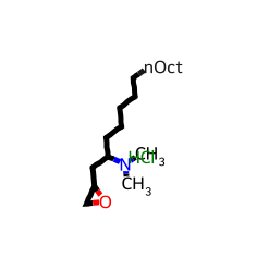 CCCCCCCCCCCCCC(CC1CO1)N(C)C.Cl